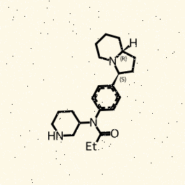 CCC(=O)N(c1ccc([C@@H]2CC[C@H]3CCCCN32)cc1)C1CCCNC1